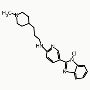 CN1CCC(CCCNc2ccc(-c3nc4ccccc4n3Cl)cn2)CC1